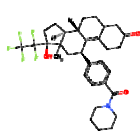 CC12C[C@H](c3ccc(C(=O)N4CCCCC4)cc3)C3=C4CCC(=O)CC4CC[C@H]3[C@@H]1CC[C@@]2(O)C(F)(F)C(F)(F)F